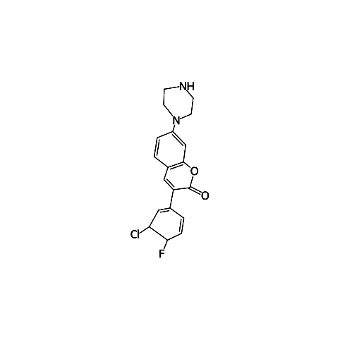 O=c1oc2cc(N3CCNCC3)ccc2cc1C1=CC(Cl)C(F)C=C1